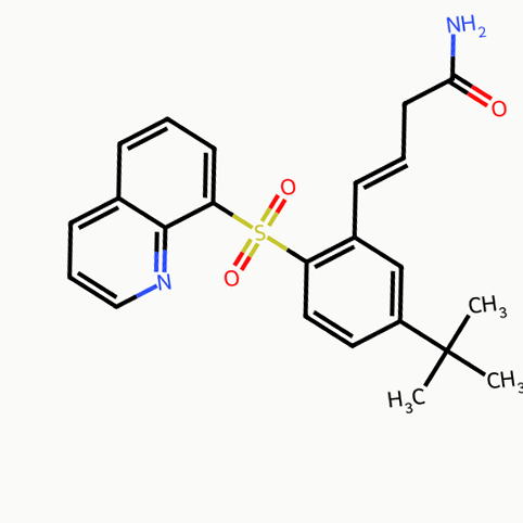 CC(C)(C)c1ccc(S(=O)(=O)c2cccc3cccnc23)c(C=CCC(N)=O)c1